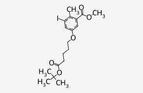 COC(=O)c1cc(OCCCCC(=O)OC(C)(C)C)cc(I)c1C